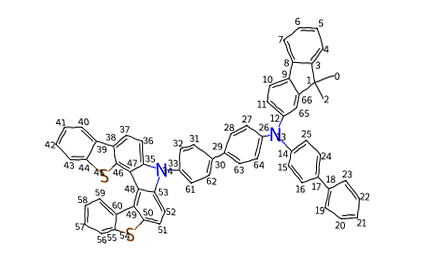 CC1(C)c2ccccc2-c2ccc(N(c3ccc(-c4ccccc4)cc3)c3ccc(-c4ccc(-n5c6ccc7c8ccccc8sc7c6c6c7c(ccc65)sc5ccccc57)cc4)cc3)cc21